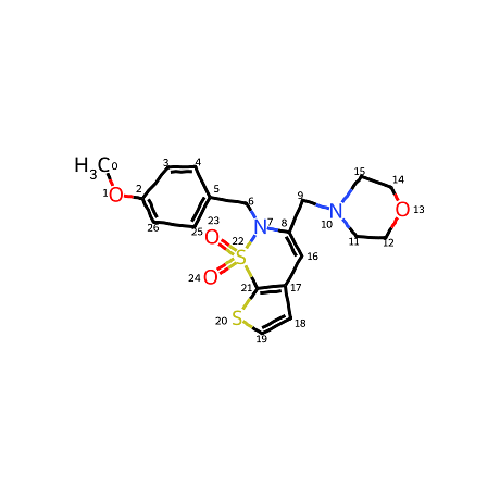 COc1ccc(CN2C(CN3CCOCC3)=Cc3ccsc3S2(=O)=O)cc1